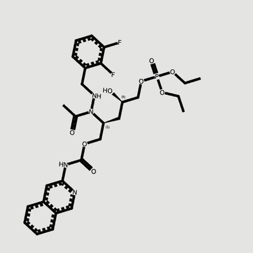 CCOP(=O)(OCC)OC[C@H](O)C[C@@H](COC(=O)Nc1cc2ccccc2cn1)N(NCc1cccc(F)c1F)C(C)=O